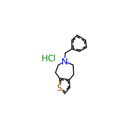 Cl.c1ccc(CN2CCc3ccsc3CC2)cc1